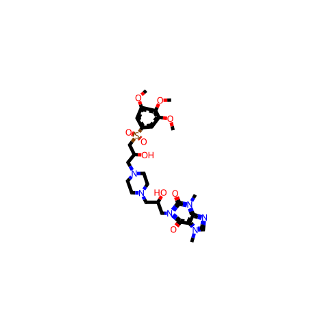 COc1cc(S(=O)(=O)CC(O)CN2CCN(CC(O)Cn3c(=O)c4c(ncn4C)n(C)c3=O)CC2)cc(OC)c1OC